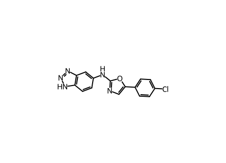 Clc1ccc(-c2cnc(Nc3ccc4[nH]nnc4c3)o2)cc1